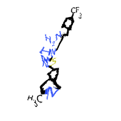 Cc1cc2cc(-c3nnc(NC[C@H](N)Cc4ccc(C(F)(F)F)cc4)s3)ccc2cn1